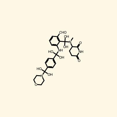 CN(C1CCC(=O)NC1=O)C(O)(O)c1c(C=O)cccc1NC(O)(O)c1ccc(C(O)(O)N2CCOCC2)cc1